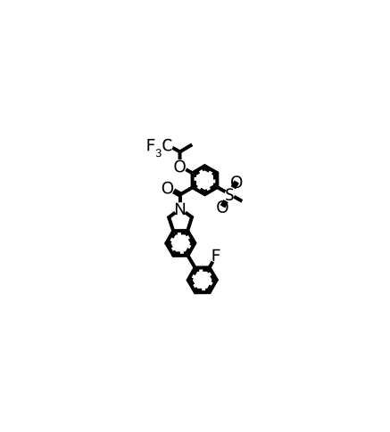 CC(Oc1ccc(S(C)(=O)=O)cc1C(=O)N1Cc2ccc(-c3ccccc3F)cc2C1)C(F)(F)F